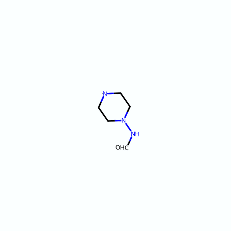 O=CNN1CC[N]CC1